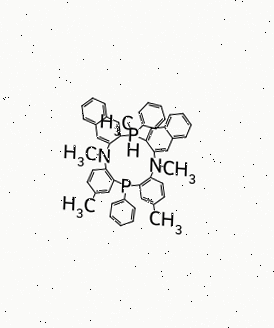 Cc1ccc2c(c1)P(c1ccccc1)c1cc(C)ccc1N(C)c1cc3ccccc3cc1[PH](C)(c1ccccc1)c1cc3ccccc3cc1N2C